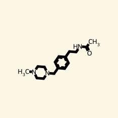 CC(=O)NCCc1ccc(CN2CCN(C)CC2)cc1